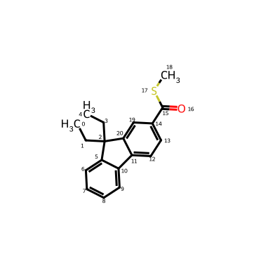 CCC1(CC)c2ccccc2-c2ccc(C(=O)SC)cc21